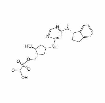 O=C(O)S(=O)(=O)OC[C@H]1C[C@@H](Nc2cc(N[C@H]3CCc4ccccc43)ncn2)C[C@@H]1O